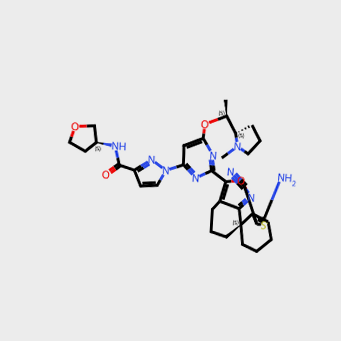 C[C@H](Oc1cc(-n2ccc(C(=O)N[C@H]3CCOC3)n2)nc(-c2onc3c2CCC[C@@]32CCCc3sc(N)c(C#N)c32)n1)[C@@H]1CCCN1C